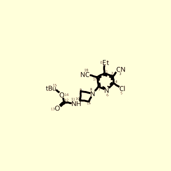 CCc1c(C#N)c(Cl)nc(N2CC(NC(=O)OC(C)(C)C)C2)c1C#N